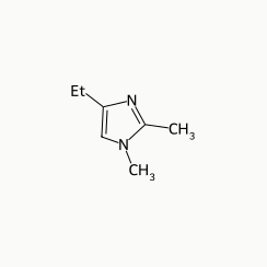 CCc1cn(C)c(C)n1